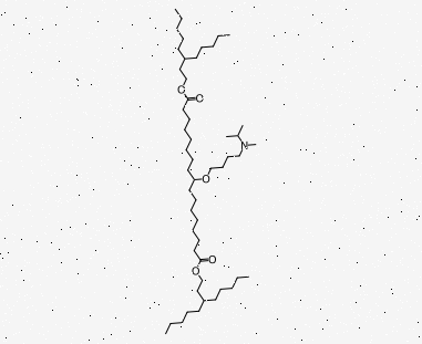 CCCCCC(CCCCC)CCOC(=O)CCCCCCCC(CCCCCCCC(=O)OCCC(CCCCC)CCCCC)OCCCCN(C)C(C)C